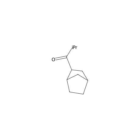 CC(C)C(=O)C1CC2CCC1C2